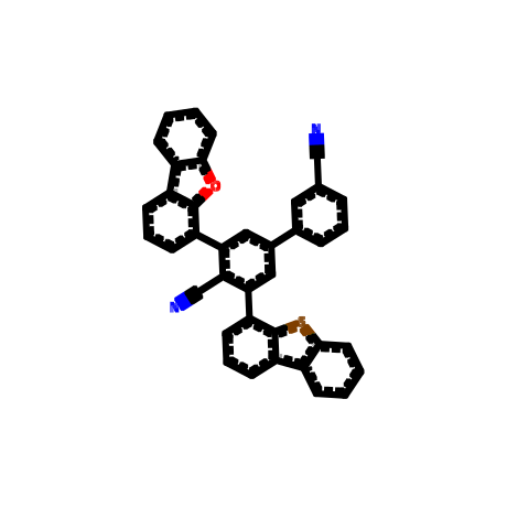 N#Cc1cccc(-c2cc(-c3cccc4c3oc3ccccc34)c(C#N)c(-c3cccc4c3sc3ccccc34)c2)c1